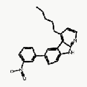 CCCCCc1ccnc2[nH]c3ccc(-c4cccc([N+](=O)[O-])c4)cc3c12